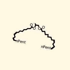 [CH2]C(COC(=O)CCCCCCC/C=C\C/C=C\CCCCC)OC(=O)CCCCCCC/C=C\C/C=C\CCCCC